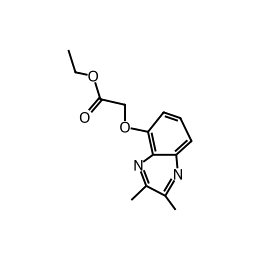 CCOC(=O)COc1cccc2nc(C)c(C)nc12